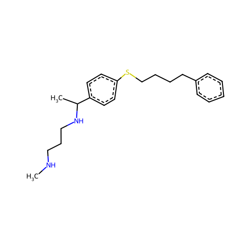 CNCCCNC(C)c1ccc(SCCCCc2ccccc2)cc1